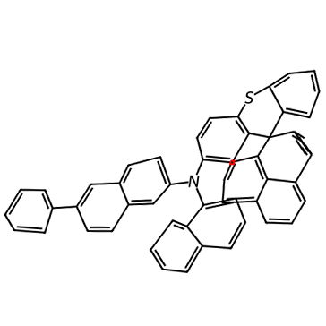 c1ccc(-c2ccc3cc(N(c4ccc5c(c4)C4(c6ccccc6S5)c5ccccc5-c5cccc6cccc4c56)c4cccc5ccccc45)ccc3c2)cc1